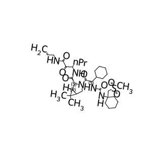 C=CCNC(=O)C(=O)C(CCC)NC(=O)[C@@H]1[C@@H]2C(CN1C(=O)[C@@H](NC(=O)NC1(CS(C)(=O)=O)CCCCC1)C1CCCCC1)C2(C)C